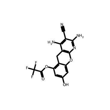 N#Cc1c(N)nc2c(c1N)Cc1c(OC(=O)C(F)(F)F)cc(O)cc1O2